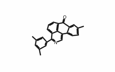 Cc1cc(C)cc(-c2ncc3c4c(cccc24)C(=O)c2cc(C)ccc2-3)c1